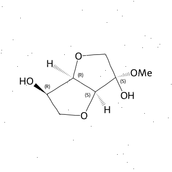 CO[C@@]1(O)CO[C@@H]2[C@H](O)CO[C@@H]21